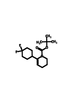 CC(C)(C)OC(=O)N1CCCC=C1C1CCC(F)(F)CC1